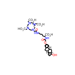 C[C@]12CC[C@@H]3c4ccc(OCC(=O)NC(CCCCNC(=O)CN5CCN(CC(=O)O)CCN(CC(=O)O)CCN(CC(=O)O)CC5)C(=O)O)cc4CC[C@H]3[C@@H]1CC[C@@H]2O